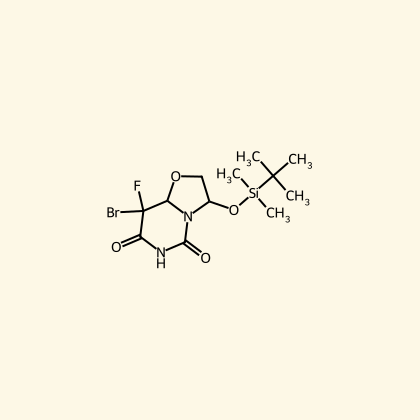 CC(C)(C)[Si](C)(C)OC1COC2N1C(=O)NC(=O)C2(F)Br